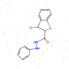 O=C(NNc1ccccc1)C1Sc2ccccc2C1Cl